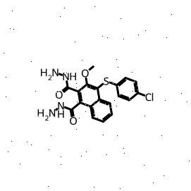 COc1c(C(=O)NN)c(C(=O)NN)c2ccccc2c1Sc1ccc(Cl)cc1